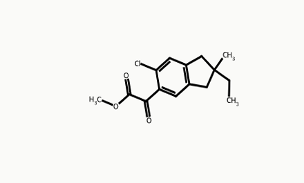 CCC1(C)Cc2cc(Cl)c(C(=O)C(=O)OC)cc2C1